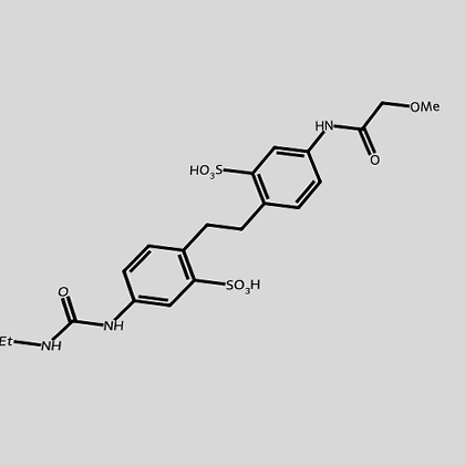 CCNC(=O)Nc1ccc(CCc2ccc(NC(=O)COC)cc2S(=O)(=O)O)c(S(=O)(=O)O)c1